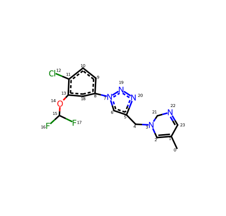 CC1=CN(Cc2cn(-c3ccc(Cl)c(OC(F)F)c3)nn2)CN=C1